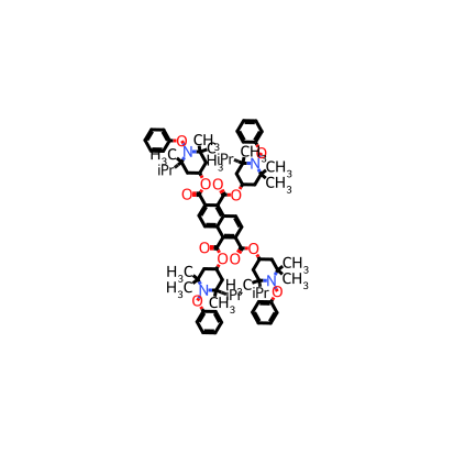 CC(C)C1(C)CC(OC(=O)c2ccc3c(C(=O)OC4CC(C)(C)N(Oc5ccccc5)C(C)(C(C)C)C4)c(C(=O)OC4CC(C)(C)N(Oc5ccccc5)C(C)(C(C)C)C4)ccc3c2C(=O)OC2CC(C)(C)N(Oc3ccccc3)C(C)(C(C)C)C2)CC(C)(C)N1Oc1ccccc1